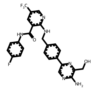 Nc1ncc(-c2ccc(CNc3ncc(C(F)(F)F)cc3C(=O)Nc3ccc(F)cc3)cc2)nc1CO